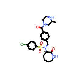 CC1CN(C(=O)c2ccc(CN([C@@H]3CCCCNC3=O)S(=O)(=O)c3ccc(Cl)cc3)cc2)CCN1